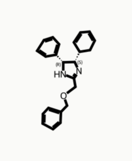 C1=CCC([C@@H]2N=C(COCc3ccccc3)N[C@@H]2c2ccccc2)C=C1